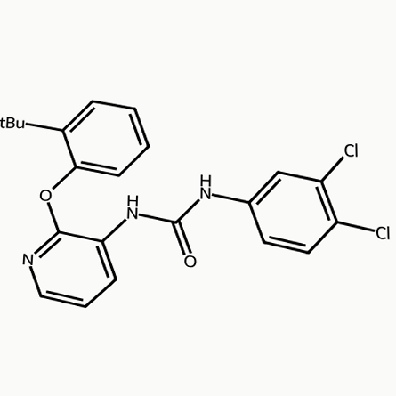 CC(C)(C)c1ccccc1Oc1ncccc1NC(=O)Nc1ccc(Cl)c(Cl)c1